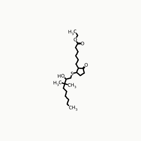 CCCCCCC(C)(C)C(O)CSC1CCC(=O)C1CCCCCC(=O)OCC